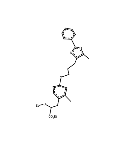 CCOC(=O)C(Cc1ccc(OCCCc2nc(-c3ccccc3)oc2C)cc1C)OCC